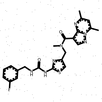 Cc1cc(C)n2ncc(C(=O)N(C)Cc3csc(NC(=O)NCc4cccc(F)c4)n3)c2n1